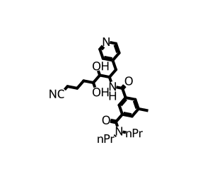 CCCN(CCC)C(=O)c1cc(C)cc(C(=O)NC(Cc2ccncc2)C(O)C(O)CCCC#N)c1